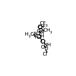 C[C@@H]1CN2C=C(C3=CCC(NC(=O)OCCCl)CC3)C=C(C(=O)N[C@H](C)c3cccc(C(F)(F)F)c3F)C2=N1